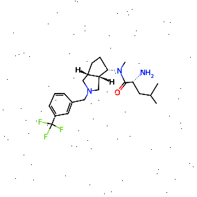 CC(C)C[C@@H](N)C(=O)N(C)[C@H]1CC[C@H]2CN(Cc3cccc(C(F)(F)F)c3)C[C@H]21